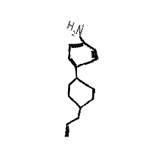 C=CCC1CCC(c2ccc(N)cc2)CC1